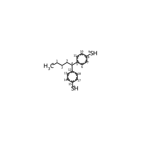 CCCCC(c1ccc(S)cc1)c1ccc(S)cc1